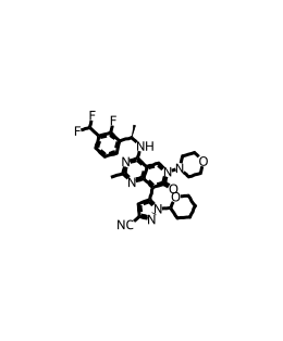 Cc1nc(N[C@H](C)c2cccc(C(F)F)c2F)c2cn(N3CCOCC3)c(=O)c(-c3cc(C#N)nn3C3CCCCO3)c2n1